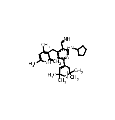 C=C1NC(C)=CC(C)=C1Cc1cc(C2=CC(C)(C)NC(C)(C)C2)nc(NC2CCCC2)c1C=N